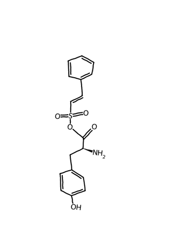 N[C@@H](Cc1ccc(O)cc1)C(=O)OS(=O)(=O)C=Cc1ccccc1